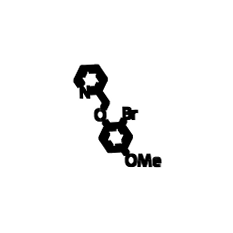 COc1ccc(OCc2ccccn2)c(Br)c1